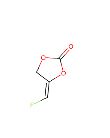 O=C1OCC(=CF)O1